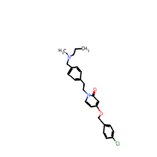 CCCN(C)Cc1ccc(CCn2ccc(OCc3ccc(Cl)cc3)cc2=O)cc1